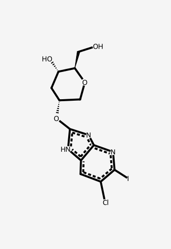 OC[C@H]1OC[C@H](Oc2nc3nc(I)c(Cl)cc3[nH]2)C[C@@H]1O